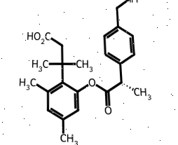 Cc1cc(C)c(C(C)(C)CC(=O)O)c(OC(=O)[C@@H](C)c2ccc(CC(C)C)cc2)c1